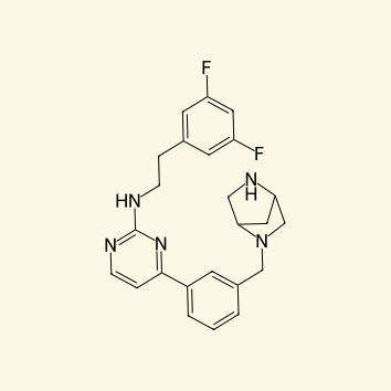 Fc1cc(F)cc(CCNc2nccc(-c3cccc(CN4CC5CC4CN5)c3)n2)c1